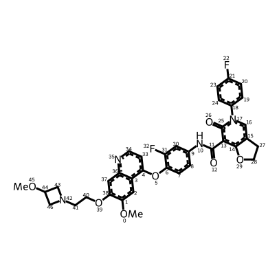 COc1cc2c(Oc3ccc(NC(=O)c4c5c(cn(-c6ccc(F)cc6)c4=O)CCO5)cc3F)ccnc2cc1OCCN1CC(OC)C1